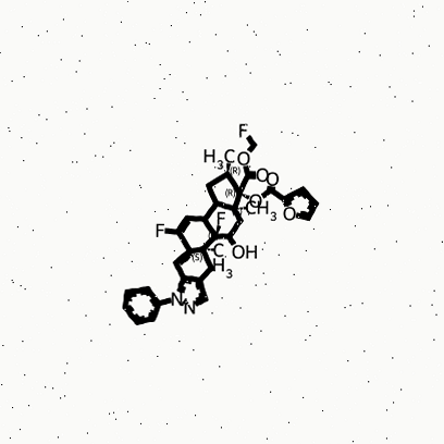 C[C@@H]1CC2C3C=C(F)C4=Cc5c(cnn5-c5ccccc5)C[C@]4(C)[C@@]3(F)C(O)C[C@]2(C)[C@@]1(OC(=O)c1ccco1)C(=O)OCF